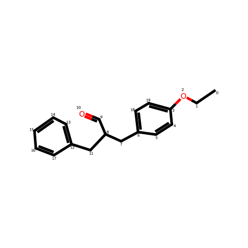 CCOc1ccc(CC(C=O)Cc2ccccc2)cc1